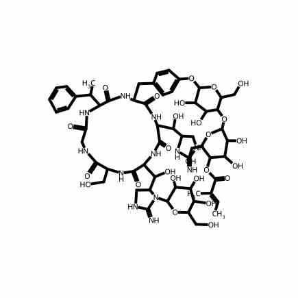 C/C=C(\C)C(=O)OC1C(CO)OC(OC2C(CO)OC(Oc3ccc(CC4NC(=O)C(C(C)c5ccccc5)NC(=O)CNC(=O)C(CO)NC(=O)C(C(O)C5CNC(=N)N5C5OC(CO)C(O)C(O)C5O)NC(=O)C(C(O)C5CNC(=N)N5)NC4=O)cc3)C(O)C2O)C(O)C1O